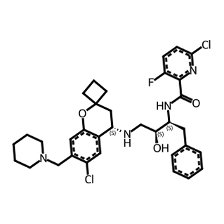 O=C(N[C@@H](Cc1ccccc1)[C@@H](O)CN[C@H]1CC2(CCC2)Oc2cc(CN3CCCCC3)c(Cl)cc21)c1nc(Cl)ccc1F